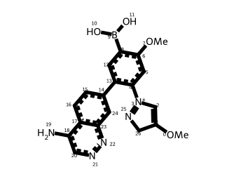 COC1=C[N+](c2cc(OC)c(B(O)O)cc2-c2ccc3c(N)cnnc3c2)=NC1